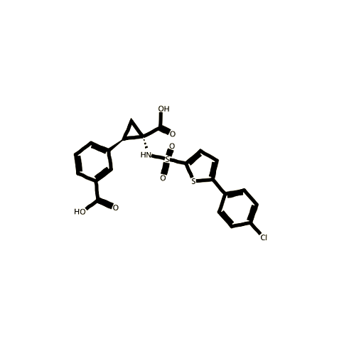 O=C(O)c1cccc([C@H]2C[C@@]2(NS(=O)(=O)c2ccc(-c3ccc(Cl)cc3)s2)C(=O)O)c1